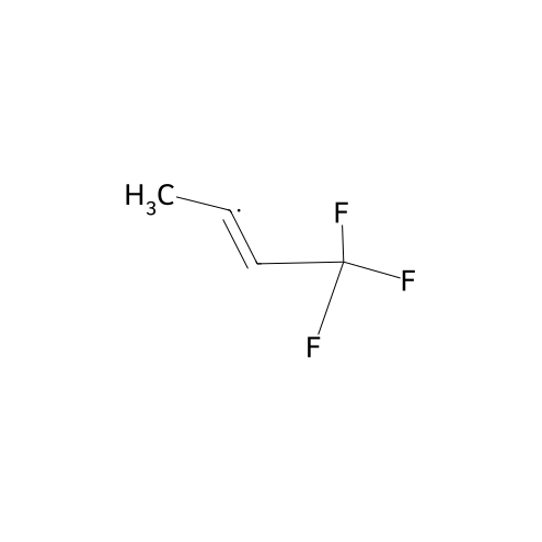 C/[C]=C/C(F)(F)F